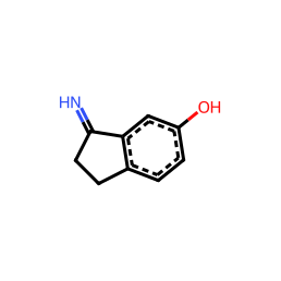 N=C1CCc2ccc(O)cc21